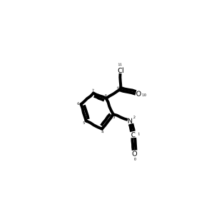 O=C=Nc1ccccc1C(=O)Cl